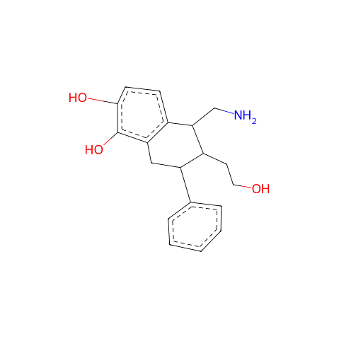 NCC1c2ccc(O)c(O)c2CC(c2ccccc2)C1CCO